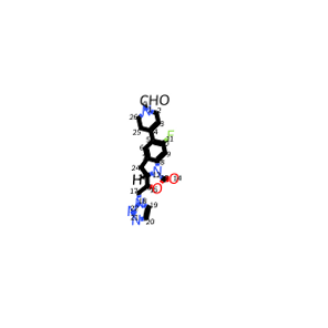 O=CN1CC=C(c2cc3c(cc2F)N2C(=O)OC(Cn4ccnn4)[C@@H]2C3)CC1